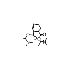 CC(OC(=O)C1C=CCCC1C(=O)OC(C)N(C)C)N(C)C